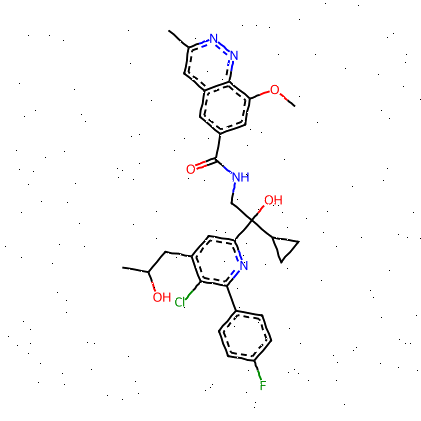 COc1cc(C(=O)NCC(O)(c2cc(CC(C)O)c(Cl)c(-c3ccc(F)cc3)n2)C2CC2)cc2cc(C)nnc12